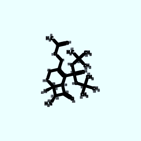 CC(=O)OCC1=C(P(=O)(OC(C)(C)C)OC(C)(C)C)N2C(=O)[C@@H](N)[C@@H]2SC1